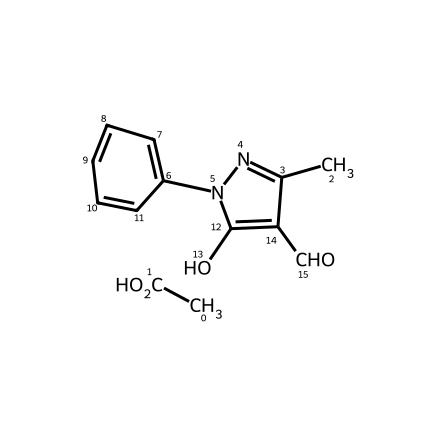 CC(=O)O.Cc1nn(-c2ccccc2)c(O)c1C=O